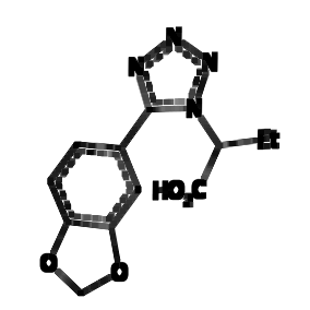 CCC(C(=O)O)n1nnnc1-c1ccc2c(c1)OCO2